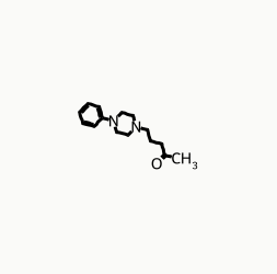 CC(=O)CCCN1CCN(c2ccccc2)CC1